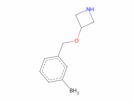 Bc1cccc(COC2CNC2)c1